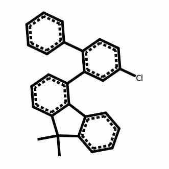 CC1(C)c2ccccc2-c2c(-c3cc(Cl)ccc3-c3ccccc3)cccc21